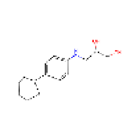 OCC(O)CNc1ccc(C2CCCCC2)cc1